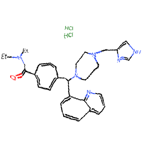 CCN(CC)C(=O)c1ccc(C(c2cccc3cccnc23)N2CCN(Cc3c[nH]cn3)CC2)cc1.Cl.Cl